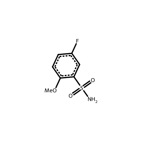 COc1ccc(F)cc1S(N)(=O)=O